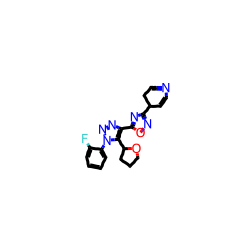 Fc1ccccc1-n1nnc(-c2nc(C3C=CN=CC3)no2)c1C1CCCO1